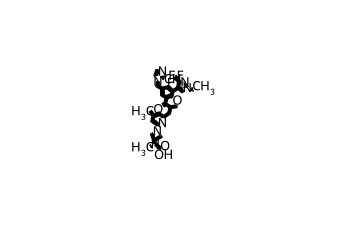 CCn1cc(-c2cc(Cn3ccnc3C)cc3c2OCC(Cc2cc(C)cc(N4CC(N(C)C(=O)O)C4)n2)C3=O)c(C(F)(F)F)n1